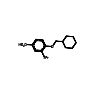 CCCc1cc(C(=O)O)ccc1OCC1CCCCC1